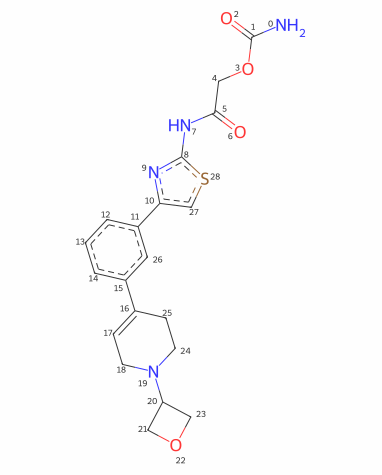 NC(=O)OCC(=O)Nc1nc(-c2cccc(C3=CCN(C4COC4)CC3)c2)cs1